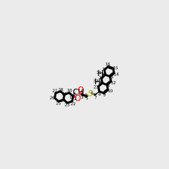 CC1(OC(=O)CSC[C@@H]2C=CC3=CC4=CC=CC[C@@H]4C[C@@H]3C2)CCC2CCCCC2C1